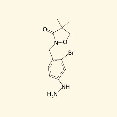 CC1(C)CON(Cc2ccc(NN)cc2Br)C1=O